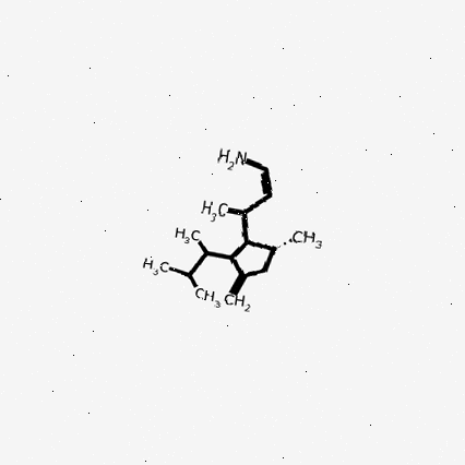 C=C1C[C@@H](C)C(C(C)/C=C\N)C1C(C)C(C)C